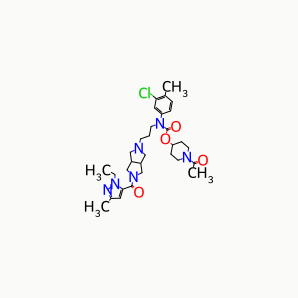 CCn1nc(C)cc1C(=O)N1CC2CN(CCCN(C(=O)OC3CCN(C(C)=O)CC3)c3ccc(C)c(Cl)c3)CC2C1